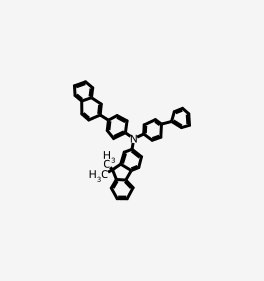 CC1(C)c2ccccc2-c2ccc(N(c3ccc(-c4ccccc4)cc3)c3ccc(-c4ccc5ccccc5c4)cc3)cc21